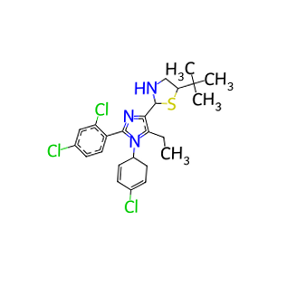 CCc1c(C2NCC(C(C)(C)C)S2)nc(-c2ccc(Cl)cc2Cl)n1C1C=CC(Cl)=CC1